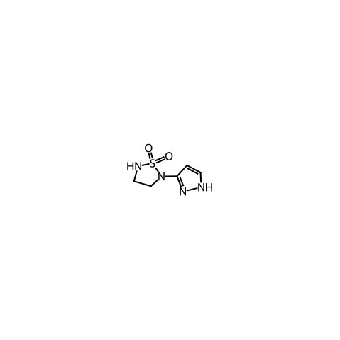 O=S1(=O)NCCN1c1cc[nH]n1